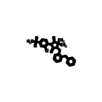 CC1(C)C(=O)N(c2ccc(S(C)(=O)=O)cc2Cl)C(=O)N1Cc1ccccc1Cc1ccccc1